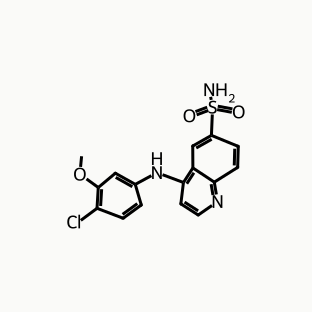 COc1cc(Nc2ccnc3ccc(S(N)(=O)=O)cc23)ccc1Cl